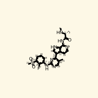 CN[C@H](C)C(=O)Nc1nccc2c(-c3nc(Nc4cccc(S(C)(=O)=O)c4F)ncc3C)c[nH]c12